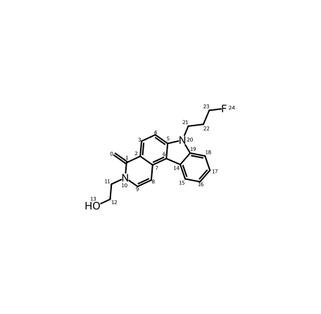 C=C1c2ccc3c(c2C=CN1CCO)c1ccccc1n3CCCF